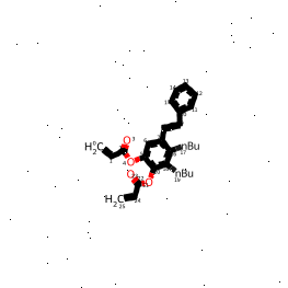 C=CC(=O)Oc1cc(C=Cc2ccccc2)c(CCCC)c(CCCC)c1OC(=O)C=C